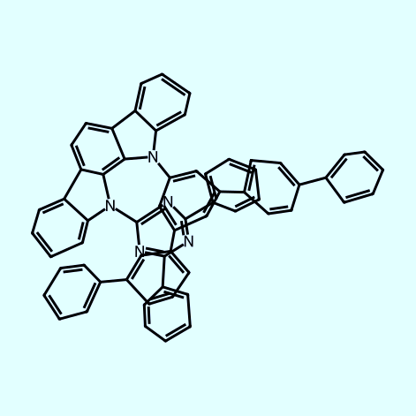 c1ccc(-c2ccc(-c3cc(-c4cccc(-c5ccccc5)c4)cc(-n4c5ccccc5c5ccc6c7ccccc7n(-c7nc(-c8ccccc8)nc(-c8ccccc8)n7)c6c54)c3)cc2)cc1